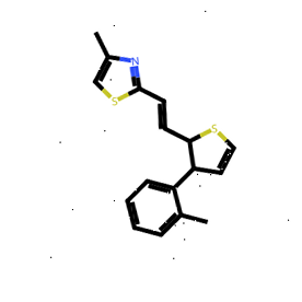 Cc1csc(C=CC2SC=CC2c2ccccc2C)n1